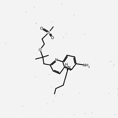 CCCC1N=C2C(N)=CC=C3N=C(CC(C)(C)OCCS(C)(=O)=O)C=CC32N1